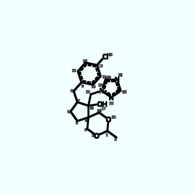 CC1OCC2(CCC(Cc3ccc(Cl)cc3)C2(O)Cn2cncn2)CO1